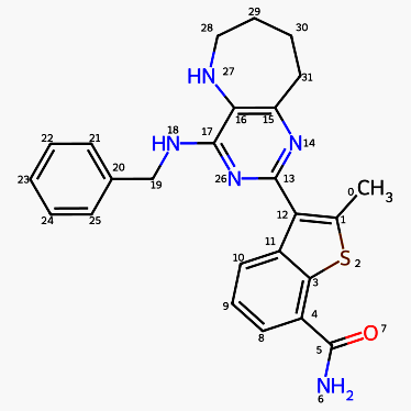 Cc1sc2c(C(N)=O)cccc2c1-c1nc2c(c(NCc3ccccc3)n1)NCCCC2